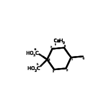 CC1CCC(C(=O)O)(C(=O)O)CC1.[CaH2]